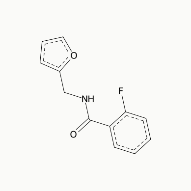 O=C(NCc1ccco1)c1ccccc1F